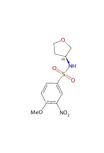 COc1ccc(S(=O)(=O)N[C@H]2CCOC2)cc1[N+](=O)[O-]